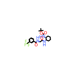 CC(C)(C)OC(=O)N[C@H]1CCCC[C@H]1NC(=O)CNC(=O)c1cccc(C(F)(F)F)c1